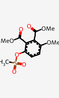 COC(=O)c1c(OC)ccc(OS(C)(=O)=O)c1C(=O)OC